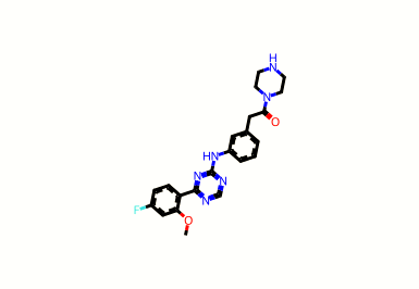 COc1cc(F)ccc1-c1ncnc(Nc2cccc(CC(=O)N3CCNCC3)c2)n1